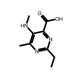 CCc1nc(C)c(NC)c(C(=O)O)n1